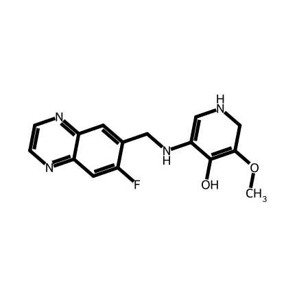 COC1=C(O)C(NCc2cc3nccnc3cc2F)=CNC1